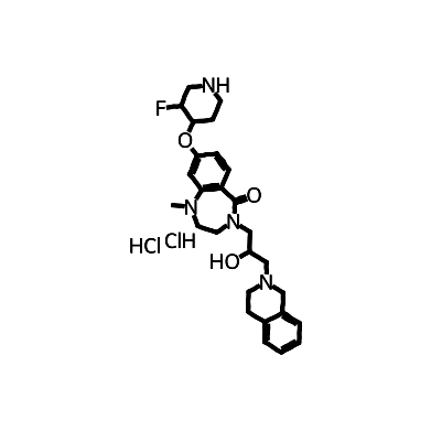 CN1CCN(CC(O)CN2CCc3ccccc3C2)C(=O)c2ccc(OC3CCNCC3F)cc21.Cl.Cl